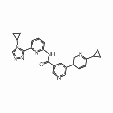 O=C(Nc1cccc(-c2nncn2C2CC2)n1)c1cncc(C2C=CC(C3CC3)=NC2)c1